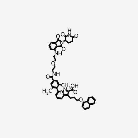 Cc1cc(C(=O)NCCOCCNc2cccc3c2C(=O)N(C2CCC(=O)NC2=O)C3=O)cc(C)c1-c1cccc2c(CCCOc3cccc4ccccc34)c(C(=O)O)nn12